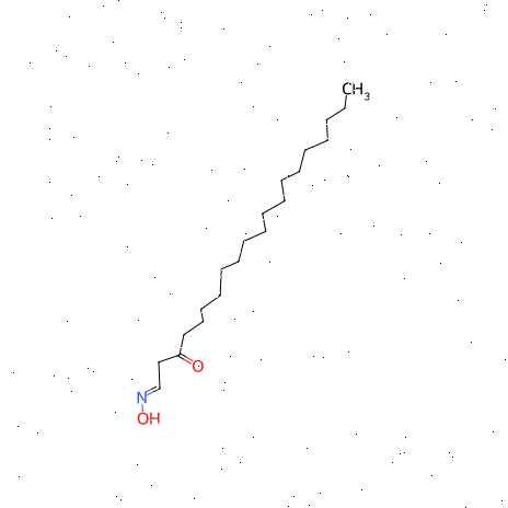 CCCCCCCCCCCCCCCCCC(=O)CC=NO